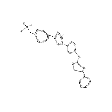 FC(F)(F)Cc1ccc(-n2cnc(-c3ccc(NC4=N[C@@H](c5ccccc5)CO4)cc3)n2)cc1